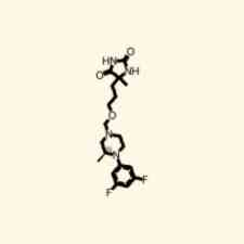 C[C@H]1CN(COCCCC2(C)NC(=O)NC2=O)CCN1c1cc(F)cc(F)c1